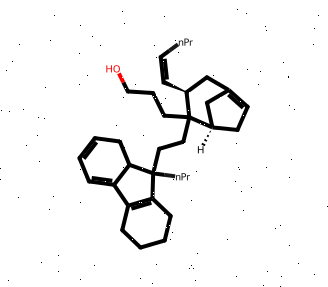 CCC/C=C\[C@H]1CC2=CC[C@H](C2)C1(CCCO)CCC1(CCC)C2=C(CCCC2)C2=CC=CCC21